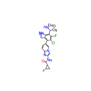 N#CC(NC=O)c1c(F)c(Cl)c(-c2ccc3nc(NC(=O)C4CC4F)cn3c2)c2cn[nH]c12